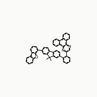 CC1(C)c2cc(-c3ccccc3-c3cnc4c5ccccc5c5ccccc5c4n3)ccc2-c2ccc(-c3cccc4c3oc3ccccc34)cc21